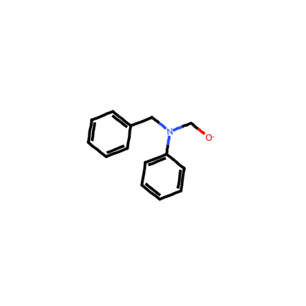 [O]CN(Cc1ccccc1)c1ccccc1